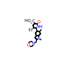 CCc1cc(C(=O)O)c(=O)[nH]c1-c1cc2cc(CN3CCOCC3)n(C)c2cc1C